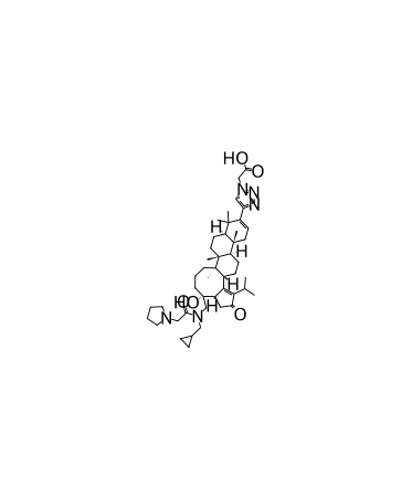 CC(C)C1=C2[C@H]3CC[C@@H]4[C@@]5(C)CC=C(c6cn(CC(=O)O)nn6)C(C)(C)[C@@H]5CC[C@@]4(C)[C@]3(C)CCC[C@](O)(CN(CC3CC3)C(=O)CN3CCCC3)[C@H]2CC1=O